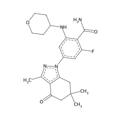 Cc1nn(-c2cc(F)c(C(N)=O)c(NC3CCOCC3)c2)c2c1C(=O)CC(C)(C)C2